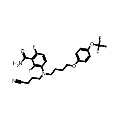 N#CCCCN(CCCCOc1ccc(OC(F)(F)F)cc1)c1ccc(F)c(C(N)=O)c1F